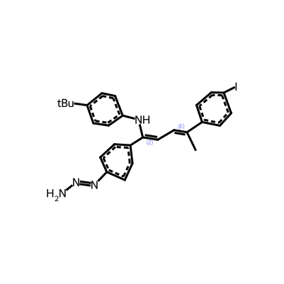 C/C(=C\C=C(/Nc1ccc(C(C)(C)C)cc1)c1ccc(N=NN)cc1)c1ccc(I)cc1